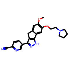 COc1cc2c(cc1OCCN1CCCC1)-c1[nH]nc(-c3ccc(C#N)nc3)c1C2